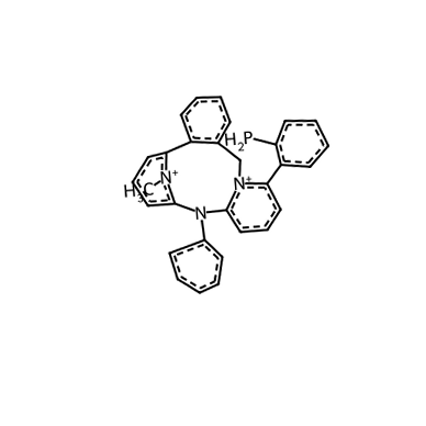 C[n+]1c2cccc1N(c1ccccc1)c1cccc(-c3ccccc3P)[n+]1Cc1ccccc1-2